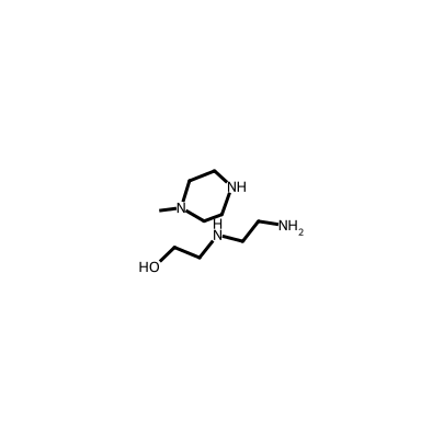 CN1CCNCC1.NCCNCCO